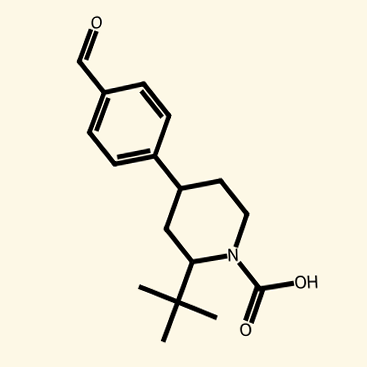 CC(C)(C)C1CC(c2ccc(C=O)cc2)CCN1C(=O)O